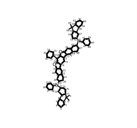 CC1(C)c2ccccc2-c2cc(N(c3ccccc3)c3ccc4cc5c(cc4c3)oc3c(-c4ccccc4)c4oc6cc7cc(N(c8ccccc8)c8ccc9c(c8)-c8ccccc8C9(C)C)ccc7cc6c4cc35)ccc21